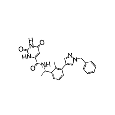 Cc1c(-c2cnn(Cc3ccccc3)c2)cccc1C(C)NC(=O)c1cc(=O)[nH]c(=O)[nH]1